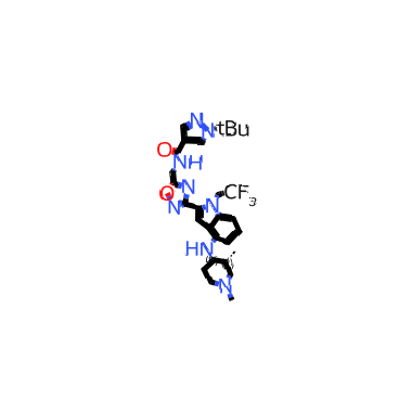 C[C@@H]1CN(C)CC[C@@H]1Nc1cccc2c1cc(-c1noc(CNC(=O)c3cnn(C(C)(C)C)c3)n1)n2CC(F)(F)F